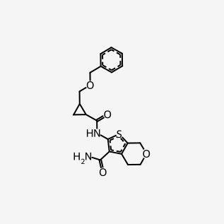 NC(=O)c1c(NC(=O)C2CC2COCc2ccccc2)sc2c1CCOC2